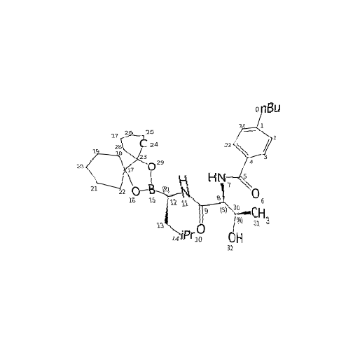 CCCCc1ccc(C(=O)N[C@H](C(=O)N[C@@H](CC(C)C)B2OC3(CCCCC3)C3(CCCCC3)O2)[C@@H](C)O)cc1